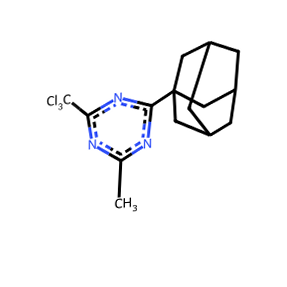 Cc1nc(C(Cl)(Cl)Cl)nc(C23CC4CC(CC(C4)C2)C3)n1